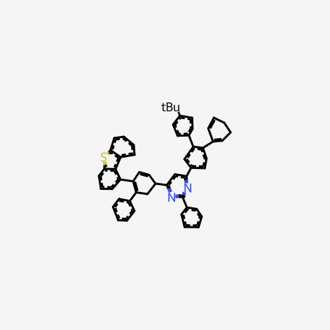 CC(C)(C)c1ccc(-c2cc(-c3cc(C4C=CC(c5cccc6sc7ccccc7c56)=C(c5ccccc5)C4)nc(-c4ccccc4)n3)ccc2C2=CCCC=C2)cc1